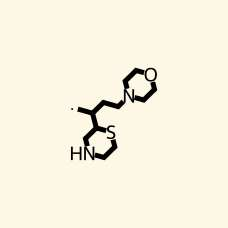 [CH2]C(CCN1CCOCC1)C1CNCCS1